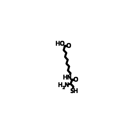 NC(CS)C(=O)NCCCCCCCCC(=O)O